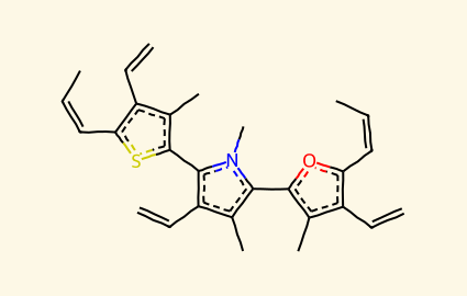 C=Cc1c(/C=C\C)oc(-c2c(C)c(C=C)c(-c3sc(/C=C\C)c(C=C)c3C)n2C)c1C